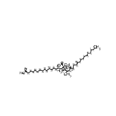 CCCCCCCCCCCCCCCCC(C)[N+](C)(C)C(C)(CCCCCCCCCCCCCCCC(=O)O)C(=O)[O-]